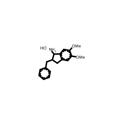 COc1cc2c(cc1OC)C(N)C(Cc1ccccc1)C2.Cl